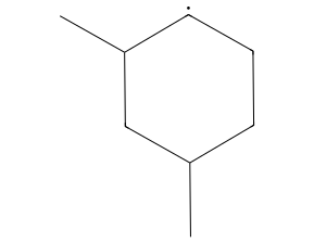 CC1[CH]CCC(C)C1